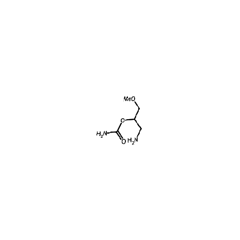 COCC(CN)OC(N)=O